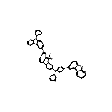 CC1(C)c2cc(-c3ccc4c(c3)c3ccccc3n4-c3ccccc3)ccc2-c2ccc(N(c3ccccc3)c3ccc(-c4ccc5oc6ccccc6c5c4)cc3)cc21